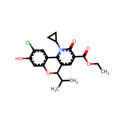 CCOC(=O)c1cc2c(n(C3CC3)c1=O)-c1cc(Cl)c(O)cc1OC2C(C)C